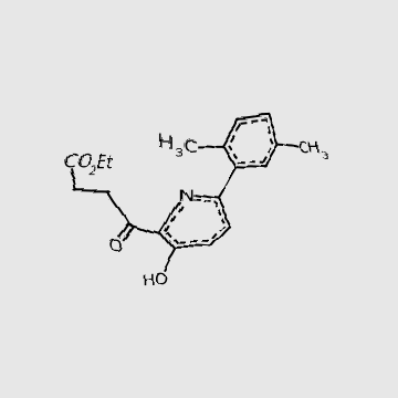 CCOC(=O)CCC(=O)c1nc(-c2cc(C)ccc2C)ccc1O